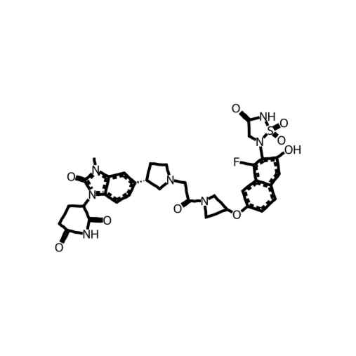 Cn1c(=O)n(C2CCC(=O)NC2=O)c2ccc([C@@H]3CCN(CC(=O)N4CC(Oc5ccc6cc(O)c(N7CC(=O)NS7(=O)=O)c(F)c6c5)C4)C3)cc21